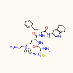 C[N+](CCN)(CCN)CCC[C@H](NC(=O)[C@@H](N)CS)C(=O)N[C@H](CCc1ccccc1)C(=O)Nc1cnc2ccccc2c1